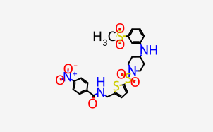 CS(=O)(=O)c1cccc(NC2CCN(S(=O)(=O)c3ccc(CNC(=O)c4ccc([N+](=O)[O-])cc4)s3)CC2)c1